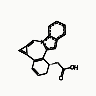 O=C(O)C[C@@H]1CC=CC2=C1c1cc3ccccc3n1C=C1C=C12